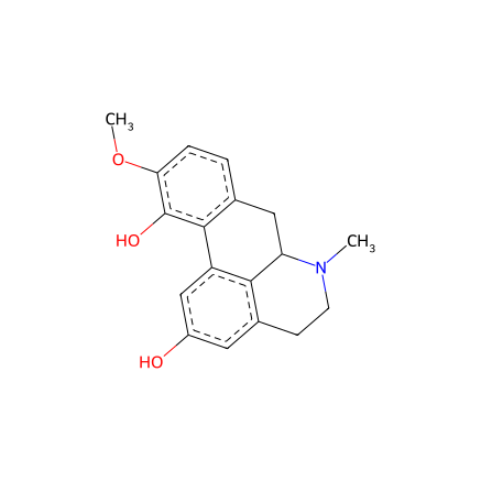 COc1ccc2c(c1O)-c1cc(O)cc3c1C(C2)N(C)CC3